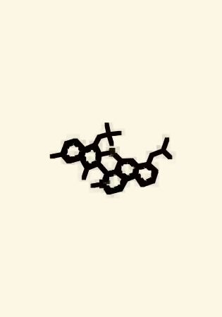 Cc1ccc2c(CC(C)(C)C)c3c(c(C)c2c1)-c1c2c(cc4c(CC(C)C)cccc4c2cc[n+]1C)S3